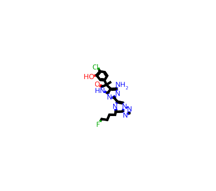 CC1(c2ccc(Cl)c(O)c2)C(=O)Nc2nc(-c3cn4ncnc4c(CCCCF)n3)nc(N)c21